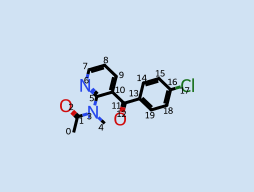 CC(=O)N(C)c1ncccc1C(=O)c1ccc(Cl)cc1